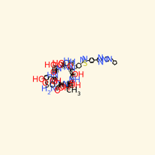 C[C@@H](O)[C@@H]1NC(=O)[C@@H](NC[C@H]2CC[C@H](c3nnc(-c4ccc(-c5cnc(N6CCN(CC7CCCC7)CC6)nc5)cc4)s3)CC2)C[C@@H](O)CNC(=O)[C@@H]2[C@@H](O)[C@@H](C)CN2C(=O)[C@H]([C@H](O)CC(N)=O)NC(=O)[C@H]([C@H](O)Cc2ccc(O)c(OS(=O)(=O)O)c2)NC(=O)[C@@H]2C[C@@H](O)CN2C1=O